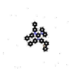 c1ccc(-c2ccc(N(c3ccc(-c4ccccc4)cc3)c3cc(N(c4ccc(-c5ccccc5)cc4)c4ccc(-c5cccc6c5sc5ccccc56)cc4)cc(-n4c5ccccc5c5ccccc54)c3)cc2)cc1